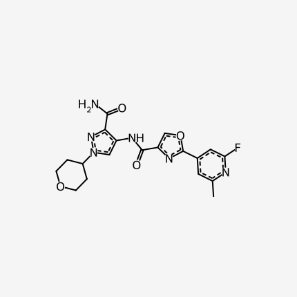 Cc1cc(-c2nc(C(=O)Nc3cn(C4CCOCC4)nc3C(N)=O)co2)cc(F)n1